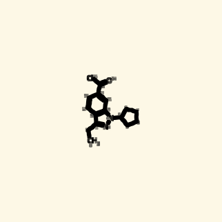 CCc1nn(C2CCCC2)c2cc(C(=O)Cl)ccc12